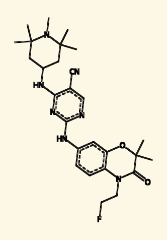 CN1C(C)(C)CC(Nc2nc(Nc3ccc4c(c3)OC(C)(C)C(=O)N4CCF)ncc2C#N)CC1(C)C